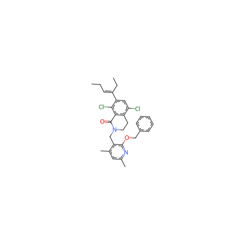 CCC=C(CC)c1cc(Cl)c2c(c1Cl)C(=O)N(Cc1c(C)cc(C)nc1OCc1ccccc1)CC2